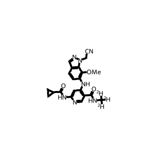 [2H]C([2H])([2H])NC(=O)c1cnc(NC(=O)C2CC2)cc1Nc1ccc2cnn(CC#N)c2c1OC